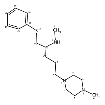 CN[C@H](CCCN1CCN(C)CC1)CSc1ccccc1